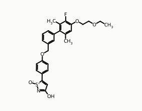 CCOCCOc1cc(C)c(-c2cccc(COc3ccc(-c4cc(O)n[s+]4[O-])cc3)c2)c(C)c1F